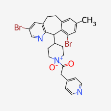 Cc1cc(Br)c2c(c1)CCc1cc(Br)cnc1C2C1CC[N+]([O-])(C(=O)Cc2ccncc2)CC1